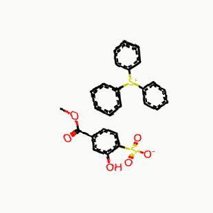 COC(=O)c1ccc(S(=O)(=O)[O-])c(O)c1.c1ccc([S+](c2ccccc2)c2ccccc2)cc1